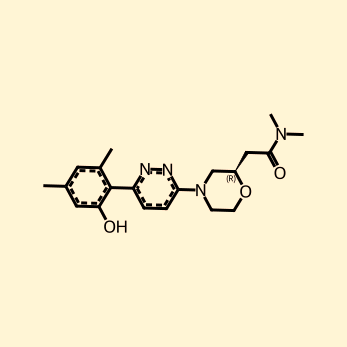 Cc1cc(C)c(-c2ccc(N3CCO[C@H](CC(=O)N(C)C)C3)nn2)c(O)c1